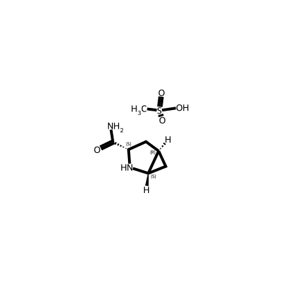 CS(=O)(=O)O.NC(=O)[C@@H]1C[C@H]2C[C@@H]2N1